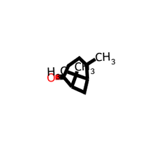 CC1CCC(=O)C2CC1C2(C)C